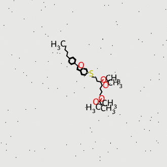 CCCCCc1ccc(-c2cc3ccc(SCCCC4OC(C)(C)OC4CCCOC(=O)C(C)(C)C)cc3o2)cc1